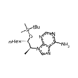 CCCCCC[C@H](O[Si](C)(C)C(C)(C)C)[C@H](C)n1cnc2c(N)ncnc21